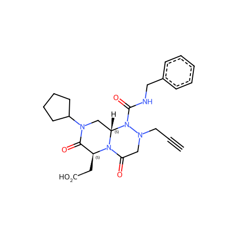 C#CCN1CC(=O)N2[C@@H](CC(=O)O)C(=O)N(C3CCCC3)C[C@@H]2N1C(=O)NCc1ccccc1